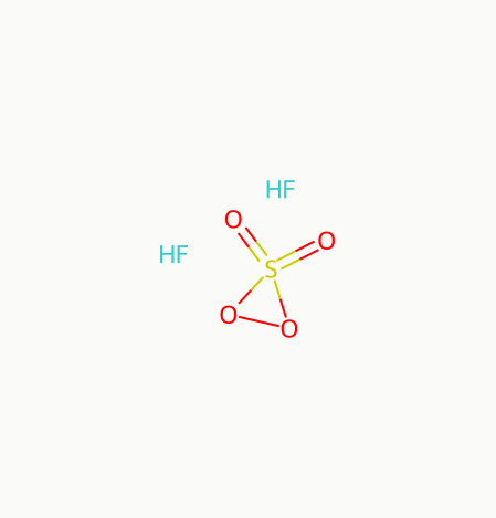 F.F.O=S1(=O)OO1